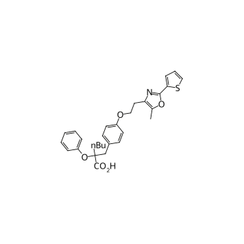 CCCCC(Cc1ccc(OCCc2nc(-c3cccs3)oc2C)cc1)(Oc1ccccc1)C(=O)O